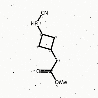 COC(=O)CC1CC(BC#N)C1